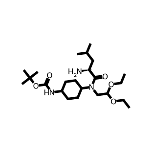 CCOC(CN(C(=O)[C@@H](N)CC(C)C)C1CCC(NC(=O)OC(C)(C)C)CC1)OCC